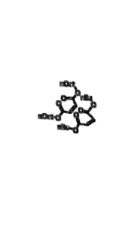 CCCCCCCCOC(=O)/C=C\C(=O)OCCCCCCCC.CCCCOC(=O)/C=C\C(=O)OCCCC